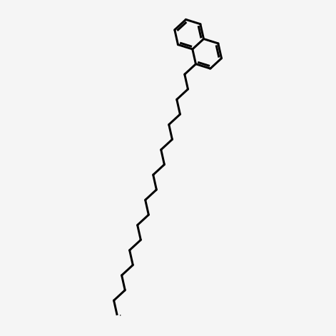 [CH2]CCCCCCCCCCCCCCCCCCCc1cccc2ccccc12